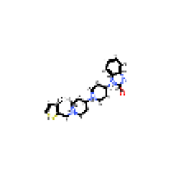 Cc1ccsc1CN1CCC(N2CCC(n3c(=O)[nH]c4ccccc43)CC2)CC1